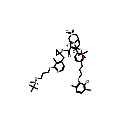 Cc1c(CC2(NC(=O)C3=C(c4ccc(CCCOc5c(F)ccc(F)c5Cl)cc4)CC4CS(=O)(=O)C[C@H]3N4C(=O)OC(C)(C)C)CC2)ccnc1OCCCO[Si](C)(C)C(C)(C)C